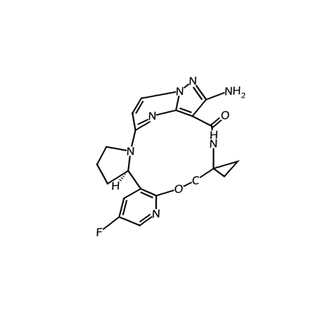 Nc1nn2ccc3nc2c1C(=O)NC1(CC1)COc1ncc(F)cc1[C@H]1CCCN31